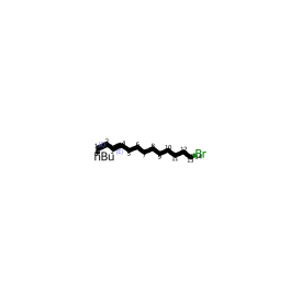 CCCC/C=C\C=C\CCCCCCCCCBr